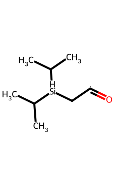 CC(C)[SiH](C[C]=O)C(C)C